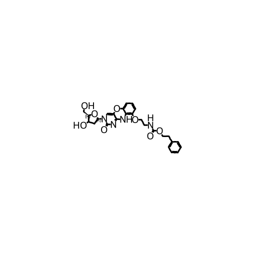 O=C(NCCOc1cccc2c1Nc1nc(=O)n([C@H]3CC(O)[C@@H](CO)O3)cc1O2)OCCc1ccccc1